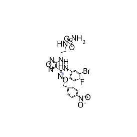 NS(=O)(=O)NCCNc1nonc1/C(=N/OCc1ccc([N+](=O)[O-])cc1)Nc1ccc(F)c(Br)c1